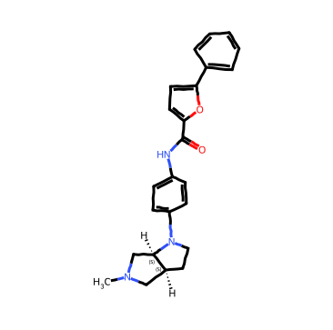 CN1C[C@@H]2CCN(c3ccc(NC(=O)c4ccc(-c5ccccc5)o4)cc3)[C@@H]2C1